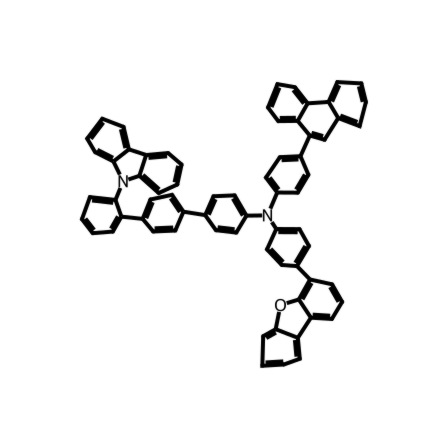 c1ccc(-n2c3ccccc3c3ccccc32)c(-c2ccc(-c3ccc(N(c4ccc(-c5cc6ccccc6c6ccccc56)cc4)c4ccc(-c5cccc6c5oc5ccccc56)cc4)cc3)cc2)c1